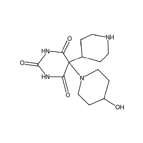 O=C1NC(=O)C(C2CCNCC2)(N2CCC(O)CC2)C(=O)N1